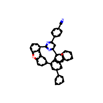 N#Cc1ccc(-c2cc(-c3ccccc3)nc(-c3cccc4oc5ccc(-c6cc(-c7ccccc7)cc(-c7ccccc7)c6)cc5c34)n2)cc1